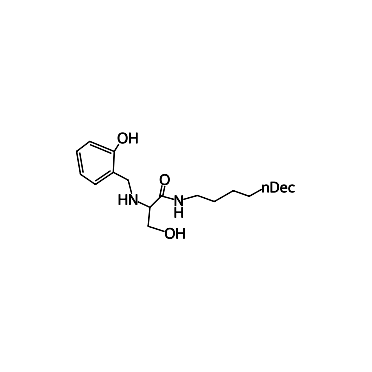 CCCCCCCCCCCCCCNC(=O)C(CO)NCc1ccccc1O